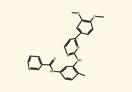 COc1ccc(-c2ccnc(Nc3cc(NC(=O)c4cccnc4)ccc3C)n2)cc1OC